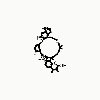 CC(C(=O)O)C(C)c1cccc(C2(C)CCCC(C)(C)CSCCc3c(c(F)cc4[nH]ccc34)Oc3ccc(F)c(c3)-c3nc2nn3C)c1